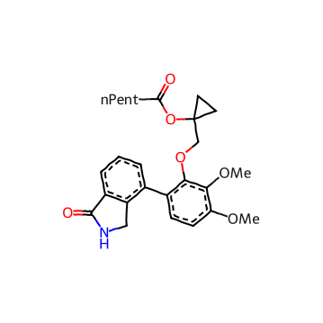 CCCCCC(=O)OC1(COc2c(-c3cccc4c3CNC4=O)ccc(OC)c2OC)CC1